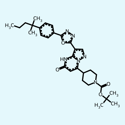 CCCC(C)(C)c1ccc(-c2nnc(-c3cnn4c(C5CCN(C(=O)OC(C)(C)C)CC5)cc(=O)[nH]c34)o2)cc1